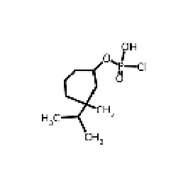 CC(C)C1(C)CCCC(OP(=O)(O)Cl)C1